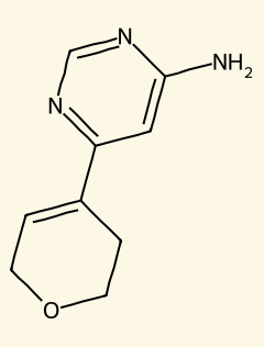 Nc1cc(C2=CCOCC2)ncn1